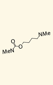 CNCCCCOC(=O)NC